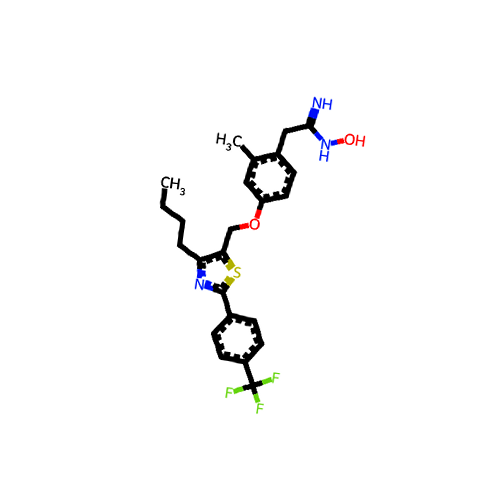 CCCCc1nc(-c2ccc(C(F)(F)F)cc2)sc1COc1ccc(CC(=N)NO)c(C)c1